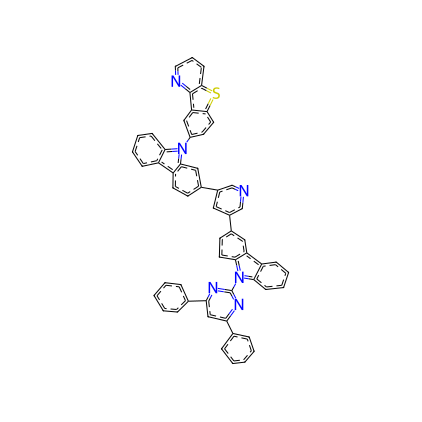 c1ccc(-c2cc(-c3ccccc3)nc(-n3c4ccccc4c4cc(-c5cncc(-c6ccc7c8ccccc8n(-c8ccc9sc%10cccnc%10c9c8)c7c6)c5)ccc43)n2)cc1